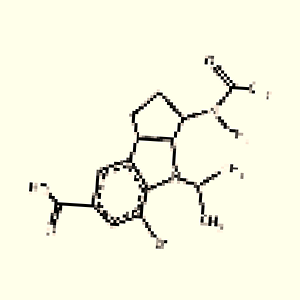 CC(=O)N(C)C1CCC2c3cc(C(=O)O)cc(Br)c3N(C(C)C)C21